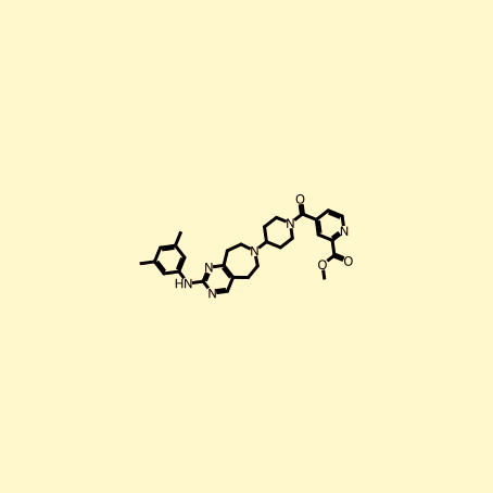 COC(=O)c1cc(C(=O)N2CCC(N3CCc4cnc(Nc5cc(C)cc(C)c5)nc4CC3)CC2)ccn1